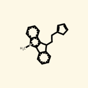 Cn1c2c(c3ccccc31)C(CCC1=CC=CC1)c1ccccc1-2